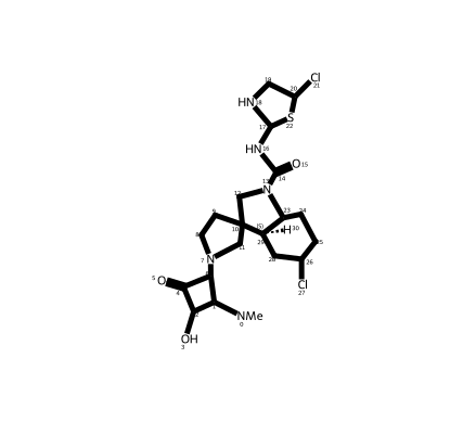 CNC1C(O)C(=O)C1N1CCC2(C1)CN(C(=O)NC1NCC(Cl)S1)C1CCC(Cl)C[C@H]12